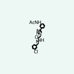 CC(=O)Nc1cccc(-c2cn(CC(=O)NN=Cc3cccc(Cl)c3)nn2)c1